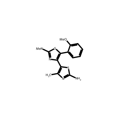 CNc1nc(-c2sc(N)nc2C)c(-c2ccccc2OC)s1